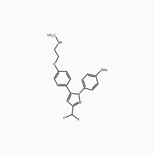 CSc1ccc(-n2nc(C(F)F)cc2-c2ccc(OCCNC(=O)O)cc2)cc1